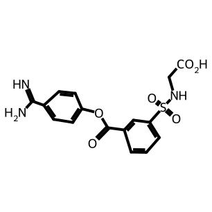 N=C(N)c1ccc(OC(=O)c2cccc(S(=O)(=O)NCC(=O)O)c2)cc1